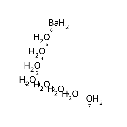 O.O.O.O.O.O.O.O.[BaH2]